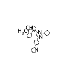 CC1(C)c2ccccc2-c2c(-c3cc(-c4ccc(-c5ccccn5)cc4)nc(-c4ccccc4)n3)cccc21